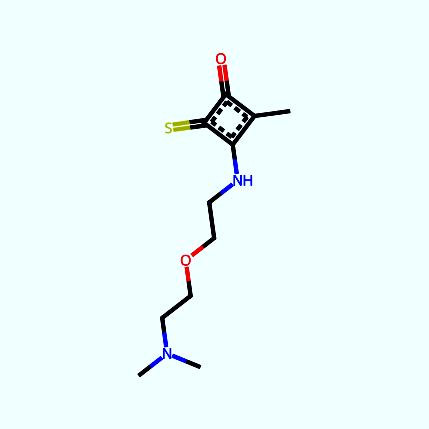 Cc1c(NCCOCCN(C)C)c(=S)c1=O